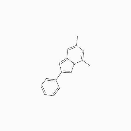 Cc1cc(C)n2cc(-c3ccccc3)cc2c1